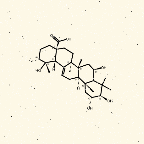 C[C@@H]1CC[C@]2(C(=O)O)CC[C@]3(C)C(=CC[C@@H]4[C@@]5(C)C[C@@H](O)[C@H](O)C(C)(C)C5[C@H](O)C[C@]43C)[C@@H]2[C@]1(C)O